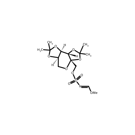 COC=NS(=O)(=O)OC[C@@]12OC[C@H]3OC(C)(C)O[C@H]3[C@@H]1OC(C)(C)O2